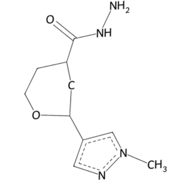 Cn1cc(C2CC(C(=O)NN)CCO2)cn1